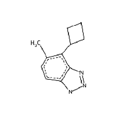 Cc1ccc2c(c1C1CCC1)N=N[N]2